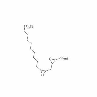 CCCCCC1OC1CC1OC1CCCCCCCCCC(=O)OCC